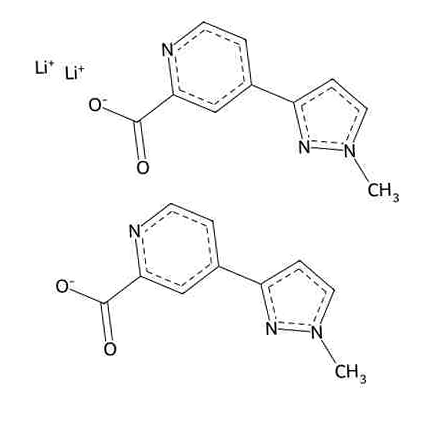 Cn1ccc(-c2ccnc(C(=O)[O-])c2)n1.Cn1ccc(-c2ccnc(C(=O)[O-])c2)n1.[Li+].[Li+]